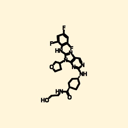 O=C(NCCO)[C@H]1CC[C@H](Nc2ncc3nc(Nc4c(F)cc(F)cc4F)n(C4CCOC4)c3n2)CC1